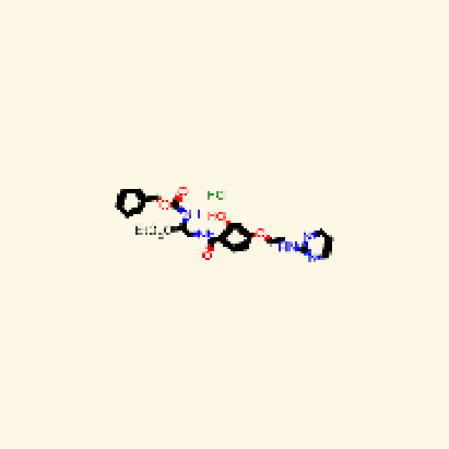 CCOC(=O)C(CNC(=O)c1ccc(OCCNc2ncccn2)cc1O)NC(=O)OCc1ccccc1.Cl